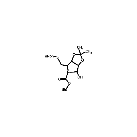 CCCCCCCCCSCC1C2OC(C)(C)OC2C(O)N1C(=O)OC(C)(C)C